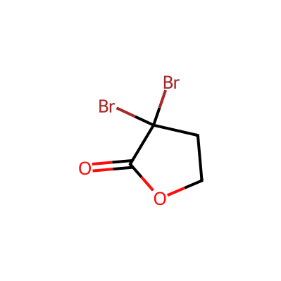 O=C1OCCC1(Br)Br